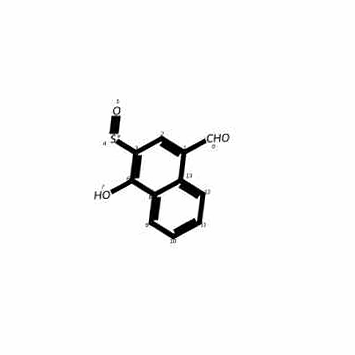 O=Cc1cc([S+]=O)c(O)c2ccccc12